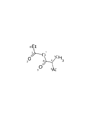 CCC(=O)OC(=O)C(C)C(C)=O